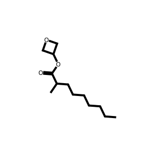 CCCCCCCC(C)C(=O)OC1COC1